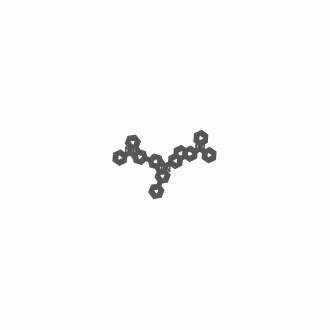 c1ccc(-c2ccc3c(c2)c2cc(-c4ccc5c(c4)c4ccccc4n5-c4ccccc4)ccc2n3-c2ccc3c(ccc4cc(N(c5ccccc5)c5ccccc5)ccc43)c2)cc1